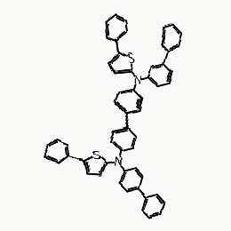 c1ccc(-c2ccc(N(c3ccc(-c4ccc(N(c5cccc(-c6ccccc6)c5)c5ccc(-c6ccccc6)s5)cc4)cc3)c3ccc(-c4ccccc4)s3)cc2)cc1